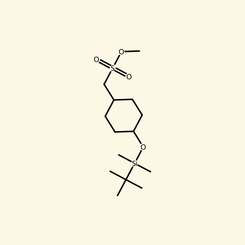 COS(=O)(=O)CC1CCC(O[Si](C)(C)C(C)(C)C)CC1